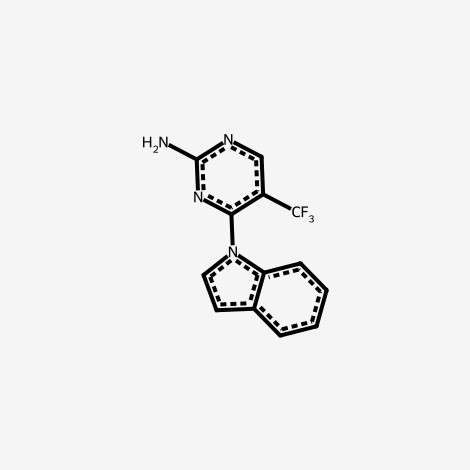 Nc1ncc(C(F)(F)F)c(-n2ccc3ccccc32)n1